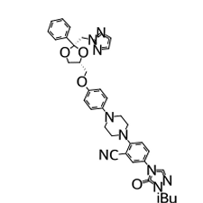 CCC(C)n1ncn(-c2ccc(N3CCN(c4ccc(OC[C@@H]5CO[C@@](Cn6nccn6)(c6ccccc6)O5)cc4)CC3)c(C#N)c2)c1=O